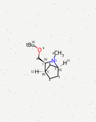 CN1[C@H]2CC[C@H](C2)[C@H]1COC(C)(C)C